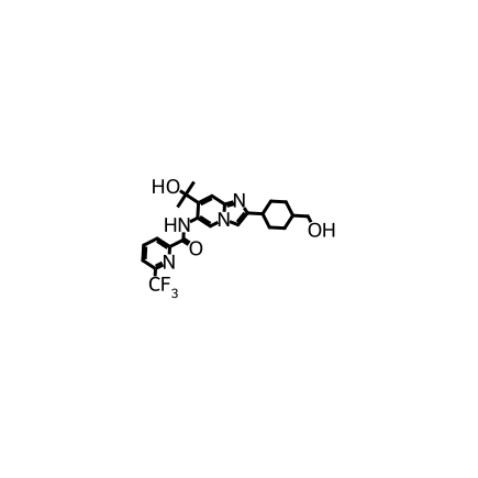 CC(C)(O)c1cc2nc(C3CCC(CO)CC3)cn2cc1NC(=O)c1cccc(C(F)(F)F)n1